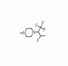 CC(F)C(N1CCN(C)CC1)C(F)(F)F